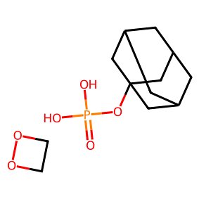 C1COO1.O=P(O)(O)OC12CC3CC(CC(C3)C1)C2